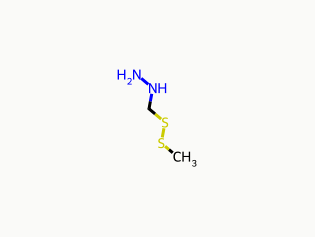 CSSCNN